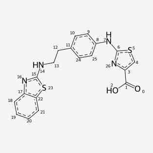 O=C(O)c1csc(Nc2ccc(CCNc3nc4ccccc4s3)cc2)n1